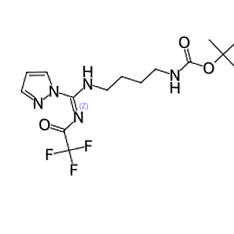 CC(C)(C)OC(=O)NCCCCN/C(=N/C(=O)C(F)(F)F)n1cccn1